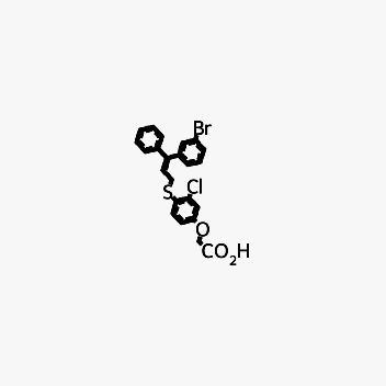 O=C(O)COc1ccc(SCC=C(c2ccccc2)c2cccc(Br)c2)c(Cl)c1